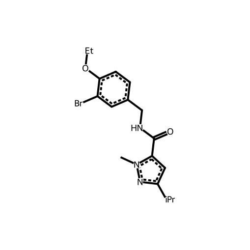 CCOc1ccc(CNC(=O)c2cc(C(C)C)nn2C)cc1Br